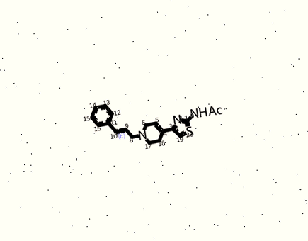 CC(=O)Nc1nc(C2=CCN(C/C=C/c3ccccc3)CC2)cs1